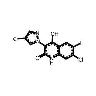 O=c1[nH]c2cc(Cl)c(I)cc2c(O)c1-n1cc(Cl)cn1